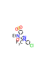 CCN(C(=O)c1cnn(-c2ccc(Cl)cc2)c1C(F)(F)F)c1cccc(S(C)(=O)=O)c1